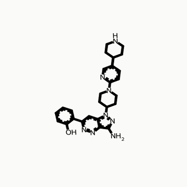 Nc1nn(C2CCN(c3ccc(C4CCNCC4)cn3)CC2)c2cc(-c3ccccc3O)nnc12